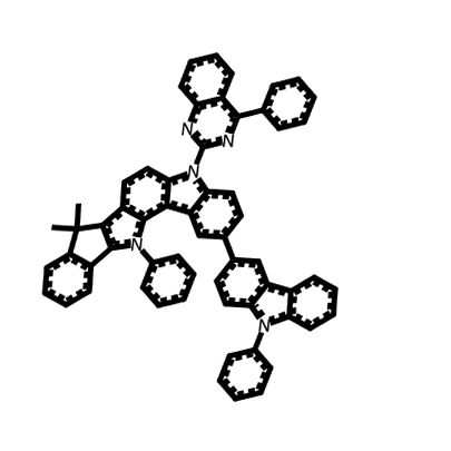 CC1(C)c2ccccc2-c2c1c1ccc3c(c4cc(-c5ccc6c(c5)c5ccccc5n6-c5ccccc5)ccc4n3-c3nc(-c4ccccc4)c4ccccc4n3)c1n2-c1ccccc1